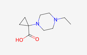 CCN1CCN(C2(C(=O)O)CC2)CC1